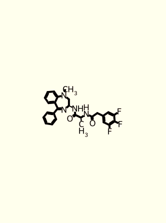 C[C@H](NC(=O)Cc1cc(F)c(F)c(F)c1)C(=O)N[C@@H]1CN(C)c2ccccc2C(c2ccccc2)=N1